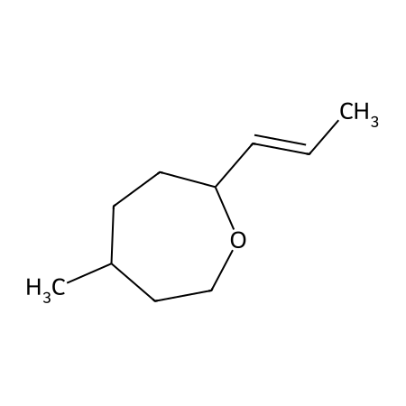 CC=CC1CCC(C)CCO1